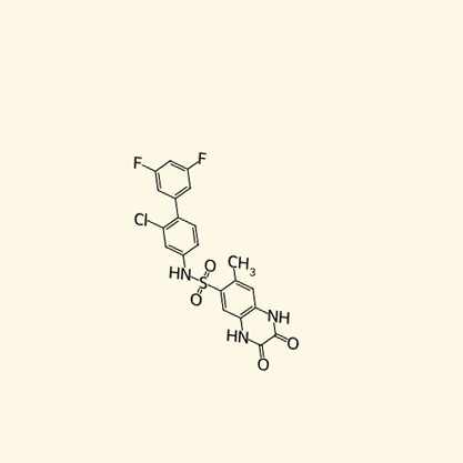 Cc1cc2[nH]c(=O)c(=O)[nH]c2cc1S(=O)(=O)Nc1ccc(-c2cc(F)cc(F)c2)c(Cl)c1